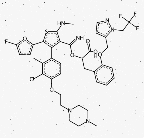 CNc1sc(-c2ccc(F)o2)c(-c2ccc(OCCN3CCN(C)CC3)c(Cl)c2C)c1C(=N)OC(Cc1ccccc1OCc1ccnn1CC(F)(F)F)C(=O)O